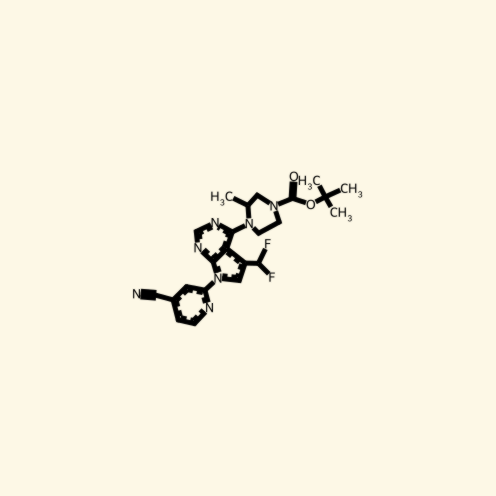 CC1CN(C(=O)OC(C)(C)C)CCN1c1ncnc2c1c(C(F)F)cn2-c1cc(C#N)ccn1